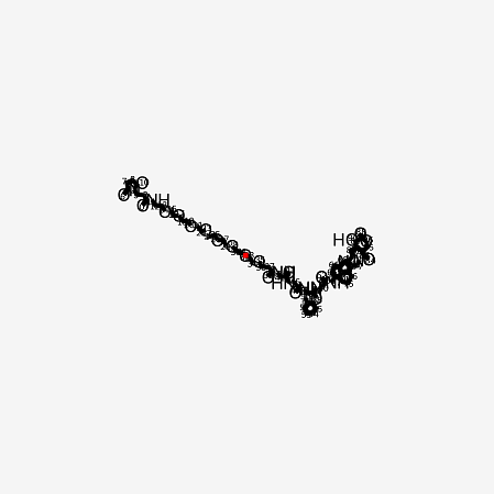 O=C(CCN1C(=O)C=CC1=O)NCCOCCOCCOCCOCCOCCOCCOCCOCCC(=O)NCC(=O)NCC(=O)N[C@@H](Cc1ccccc1)C(=O)NCC(=O)Nc1ccc2nc3c(c4c2c1CCC4)Cn1c-3cc2c(c1=O)COC(=O)[C@H]2O